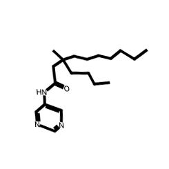 CCCCCCCC(C)(CCCC)CC(=O)Nc1cncnc1